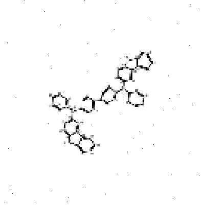 c1ccc(N(c2ccc(-c3ccc(N(c4ccccc4)c4ccc5sc6ccccc6c5c4)cc3)cc2)c2ccc3oc4ccccc4c3c2)cc1